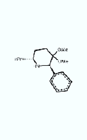 CCC[C@@H]1CCC(OC)(OC)[C@@H](c2ccccc2)N1